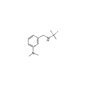 CN(C)c1cccc(CNC(C)(C)C)c1